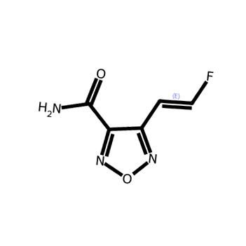 NC(=O)c1nonc1/C=C/F